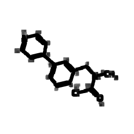 CN(Cc1cccc(-c2ccncc2)c1)C(=O)Cl